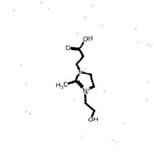 CC1=[N+](CCO)CCN1CCC(=O)O